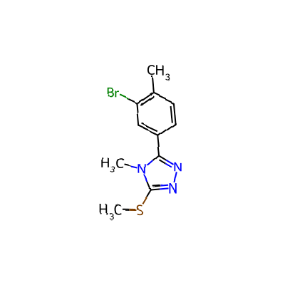 CSc1nnc(-c2ccc(C)c(Br)c2)n1C